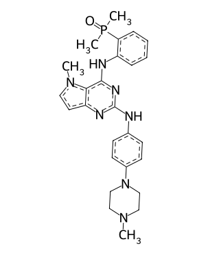 CN1CCN(c2ccc(Nc3nc(Nc4ccccc4P(C)(C)=O)c4c(ccn4C)n3)cc2)CC1